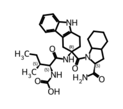 CC[C@H](C)[C@H](NC(=O)O)C(=O)N[C@]1(C(=O)N2C3CCCCC3C[C@H]2C(N)=O)CCc2[nH]c3ccccc3c2C1